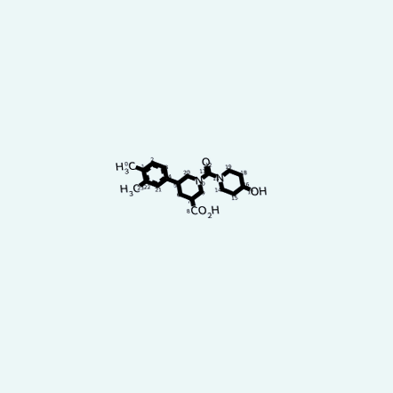 Cc1ccc(C2CC(C(=O)O)CN(C(=O)N3CCC(O)CC3)C2)cc1C